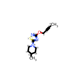 CC#CCOc1nsc(N2CCC(C)CC2)n1